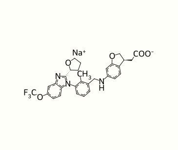 Cc1c(CNc2ccc3c(c2)OC[C@H]3CC(=O)[O-])cccc1-n1c([C@H]2CCCO2)nc2cc(OC(F)(F)F)ccc21.[Na+]